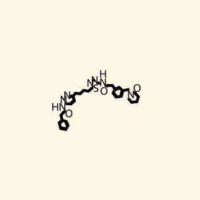 O=C(Cc1ccccc1)Nc1ccc(CCCCc2nnc(NC(=O)Cc3cccc(CN4CCCCC4=O)c3)s2)nn1